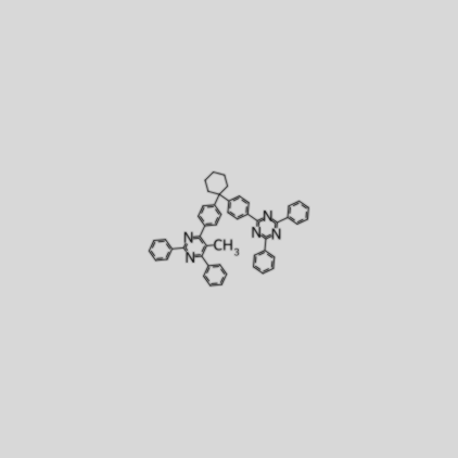 Cc1c(-c2ccccc2)nc(-c2ccccc2)nc1-c1ccc(C2(c3ccc(-c4nc(-c5ccccc5)nc(-c5ccccc5)n4)cc3)CCCCC2)cc1